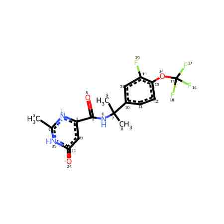 Cc1nc(C(=O)NC(C)(C)c2ccc(OC(F)(F)F)c(F)c2)cc(=O)[nH]1